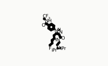 CC(C)N(CCNC(=O)c1nnn(-c2ccc(C(=O)NCC(F)(F)F)cc2)c1CCCCCF)C(C)C